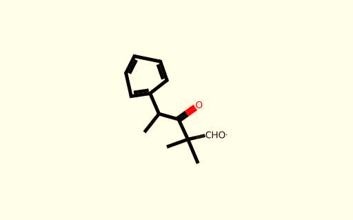 CC(C(=O)C(C)(C)[C]=O)c1ccccc1